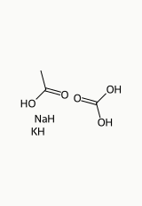 CC(=O)O.O=C(O)O.[KH].[NaH]